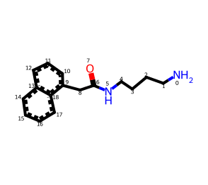 NCCCCNC(=O)Cc1cccc2ccccc12